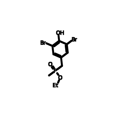 CCOP(C)(=O)Cc1cc(Br)c(O)c(Br)c1